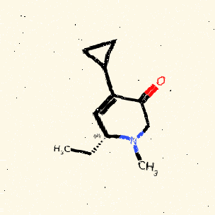 CC[C@@H]1C=C(C2CC2)C(=O)CN1C